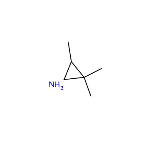 CC1CC1(C)C.N